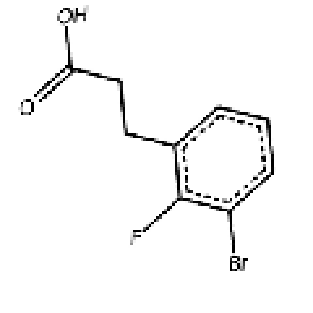 O=C(O)CCc1cccc(Br)c1F